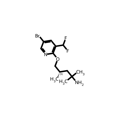 C[C@H](COc1ncc(Br)cc1C(F)F)CC(C)(C)N